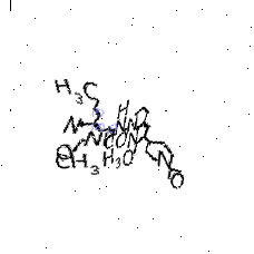 CC/C=C/C(C#N)=C(\C=C(/C)NC(=O)N1CCCc2cc(C3CCN(C4COC4)CC3)c(C=O)nc21)NCCOC